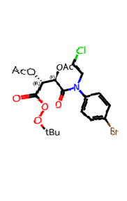 CC(=O)O[C@@H](C(=O)OOC(C)(C)C)[C@@H](OC(C)=O)C(=O)N(CCCl)c1ccc(Br)cc1